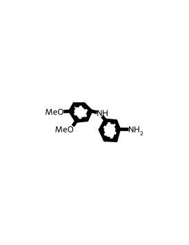 COc1ccc(Nc2cccc(N)c2)cc1OC